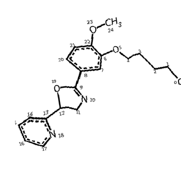 CCCCCOc1cc(C2=NCC(c3ccccn3)O2)ccc1OC